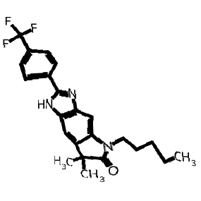 CCCCCN1C(=O)C(C)(C)c2cc3[nH]c(-c4ccc(C(F)(F)F)cc4)nc3cc21